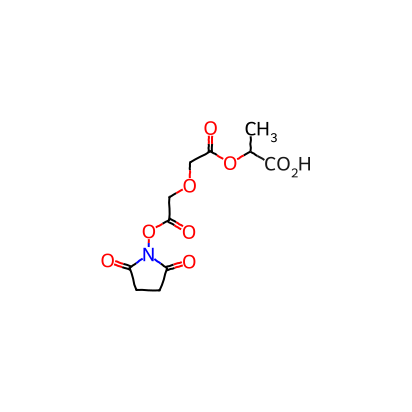 CC(OC(=O)COCC(=O)ON1C(=O)CCC1=O)C(=O)O